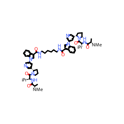 CN[C@@H](C)C(=O)N[C@H](C(=O)N1CCC[C@H]1c1cncc(-n2cc(C(=O)NCCCCCCNC(=O)c3cn(-c4cncc([C@@H]5CCCN5C(=O)[C@@H](NC(=O)[C@H](C)NC)C(C)C)c4)c4ccccc34)c3ccccc32)c1)C(C)C